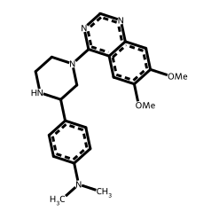 COc1cc2ncnc(N3CCNC(c4ccc(N(C)C)cc4)C3)c2cc1OC